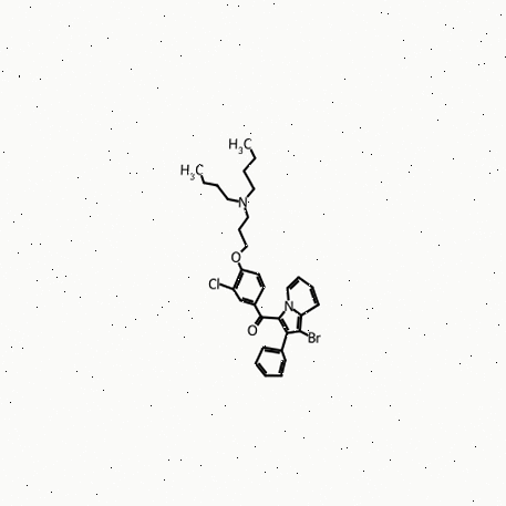 CCCCN(CCCC)CCCOc1ccc(C(=O)c2c(-c3ccccc3)c(Br)c3ccccn23)cc1Cl